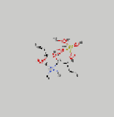 C=CC(=O)OC(CCC)[N+](C)(C)C.COS(=O)(=O)[O-]